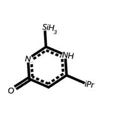 CC(C)c1cc(=O)nc([SiH3])[nH]1